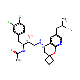 CC(=O)N[C@@H](Cc1ccc(Cl)c(F)c1)[C@H](O)CN[C@H]1CC2(CCC2)Oc2ncc(CC(C)C)cc21